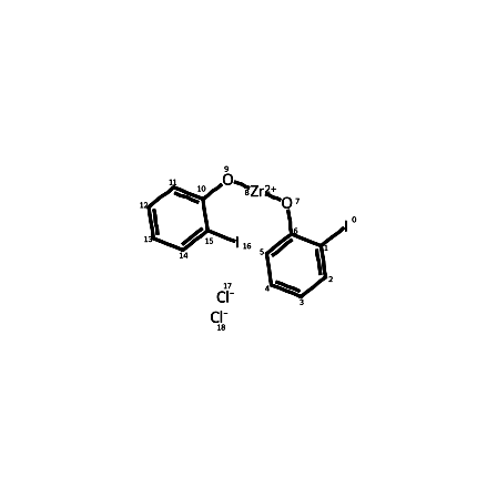 Ic1ccccc1[O][Zr+2][O]c1ccccc1I.[Cl-].[Cl-]